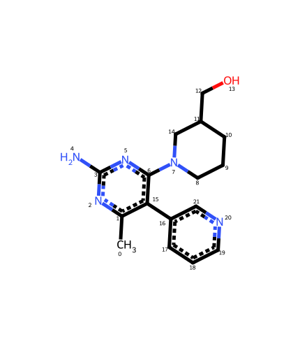 Cc1nc(N)nc(N2CCCC(CO)C2)c1-c1cccnc1